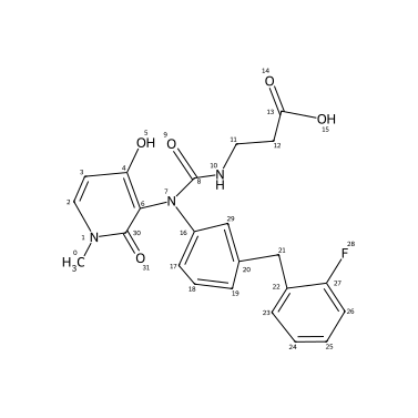 Cn1ccc(O)c(N(C(=O)NCCC(=O)O)c2cccc(Cc3ccccc3F)c2)c1=O